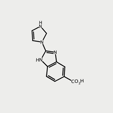 O=C(O)c1ccc2[nH]c(N3C=CNC3)nc2c1